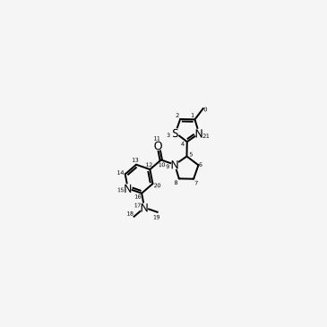 Cc1csc(C2CCCN2C(=O)c2ccnc(N(C)C)c2)n1